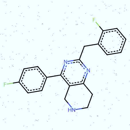 Fc1ccc(-c2nc(Cc3ccccc3F)nc3c2CNCC3)cc1